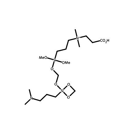 CO[Si](CCC[N+](C)(C)CCC(=O)O)(OC)OCO[Si]1(CCCN(C)C)OCO1